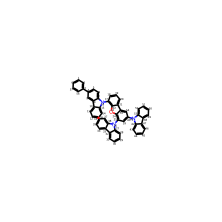 c1ccc(-c2ccc3c(c2)c2ccccc2n3-c2cccc3c2oc2c(-n4c5ccccc5c5ccccc54)cc(-n4c5ccccc5c5ccccc54)cc23)cc1